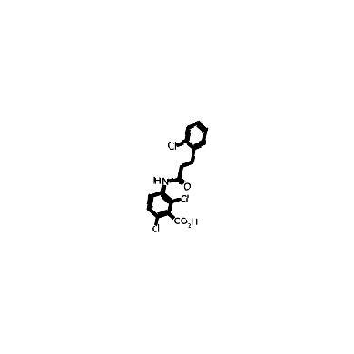 O=C(CCc1ccccc1Cl)Nc1ccc(Cl)c(C(=O)O)c1Cl